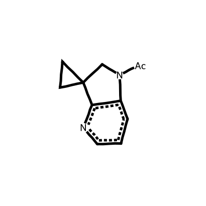 CC(=O)N1CC2(CC2)c2ncccc21